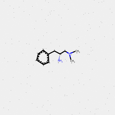 CN(C)C[C@H](N)Cc1ccccc1